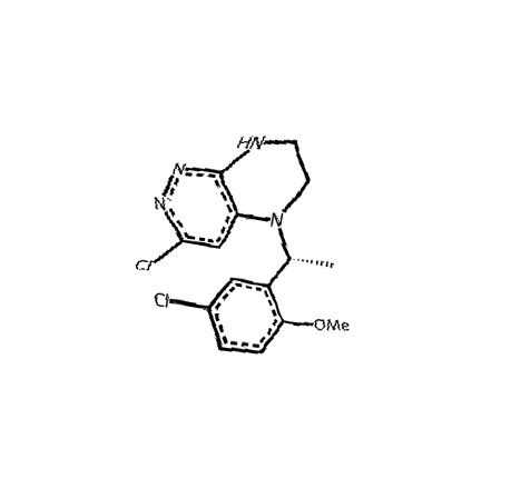 COc1ccc(Cl)cc1[C@@H](C)N1CCNc2nnc(Cl)cc21